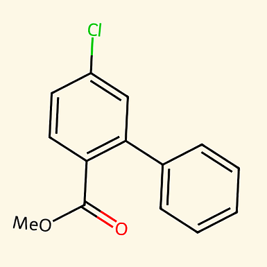 COC(=O)c1ccc(Cl)cc1-c1ccccc1